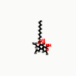 CCCCCCCCCCOOc1c(O)c(C(=O)O)c(CCC)c(CCC)c1CCC